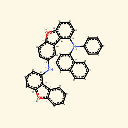 c1ccc(N(c2cccc3ccccc23)c2cccc3oc4ccc(Nc5cccc6oc7ccccc7c56)cc4c23)cc1